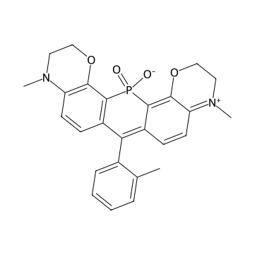 Cc1ccccc1C1=c2ccc3c(c2P(=O)([O-])c2c1ccc1c2OCCN1C)OCC[N+]=3C